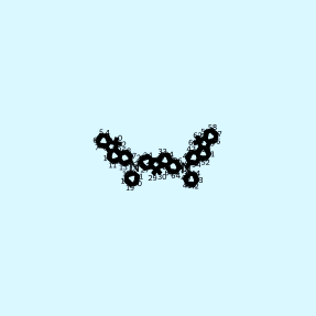 CC1(C)c2ccccc2-c2ccc3cc(N(c4ccccc4)c4ccc5c(c4)C(C)(C)c4c-5ccc5cc(N(c6ccccc6)c6ccc7c8c(ccc7c6)-c6ccccc6C8(C)C)ccc45)ccc3c21